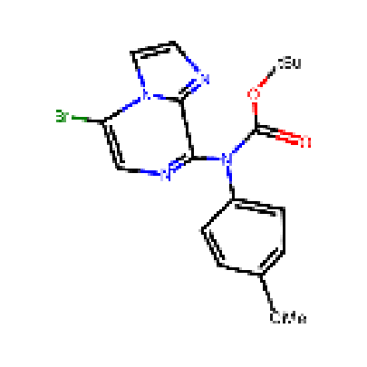 COc1ccc(N(C(=O)OC(C)(C)C)c2ncc(Br)n3ccnc23)cc1